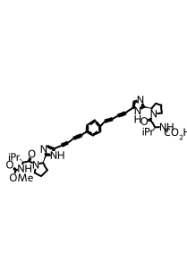 COC(=O)N[C@@H](C(=O)N1CCC[C@@H]1c1ncc(C#CC#Cc2ccc(C#CC#Cc3cnc([C@H]4CCCN4C(=O)[C@H](NC(=O)O)C(C)C)[nH]3)cc2)[nH]1)C(C)C